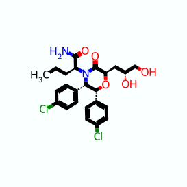 CCC[C@@H](C(N)=O)N1C(=O)[C@@H](C[C@@H](O)CO)O[C@H](c2ccc(Cl)cc2)[C@@H]1c1ccc(Cl)cc1